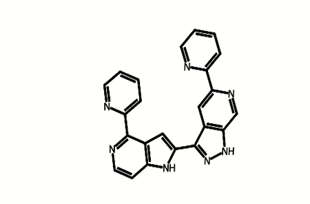 c1ccc(-c2cc3c(-c4cc5c(-c6ccccn6)nccc5[nH]4)n[nH]c3cn2)nc1